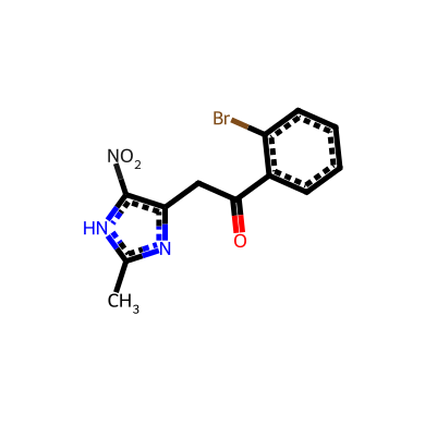 Cc1nc(CC(=O)c2ccccc2Br)c([N+](=O)[O-])[nH]1